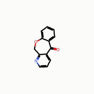 O=C1c2ccccc2OCc2ncccc21